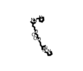 O=C(CC(=O)OCCCc1cnn(Cc2ccccn2)c1)OCCCc1cnn(Cc2ccccn2)c1